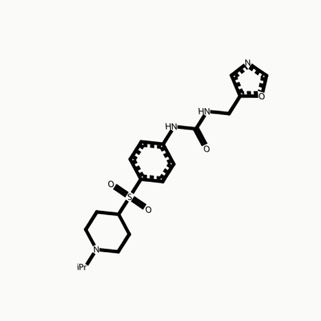 CC(C)N1CCC(S(=O)(=O)c2ccc(NC(=O)NCc3cnco3)cc2)CC1